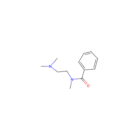 CN(C)CCN(C)C(=O)c1cc[c]cc1